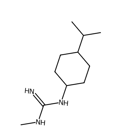 CNC(=N)NC1CCC(C(C)C)CC1